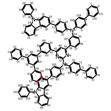 c1ccc(-c2ccc(N(c3ccc(-c4ccc5c(c4)c4ccccc4n5-c4ccccc4)cc3)c3cccc(-c4cc(-c5cccc(-c6cc(-c7ccccc7)cc(-c7ccccc7)c6)c5)nc(N(c5ccc(-c6ccccc6)cc5)c5ccc(-c6ccc7c(c6)c6ccccc6n7-c6ccccc6)cc5)n4)c3)cc2)cc1